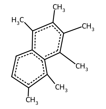 Cc1ccc2c(C)c(C)c(C)c(C)c2c1C